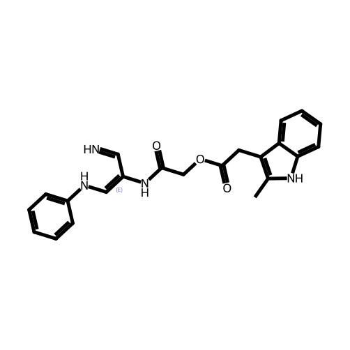 Cc1[nH]c2ccccc2c1CC(=O)OCC(=O)N/C(C=N)=C/Nc1ccccc1